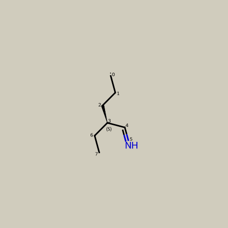 [CH2]CC[C@@H](C=N)CC